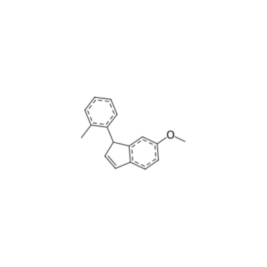 COc1ccc2c(c1)C(c1ccccc1C)C=C2